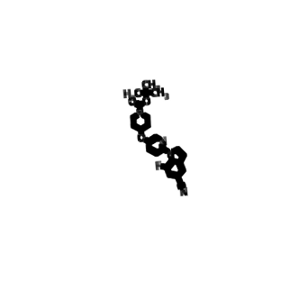 CC(C)(C)OC(=O)N1CCC(Oc2ccc(-n3ccc4cc(C#N)cc(F)c43)nc2)CC1